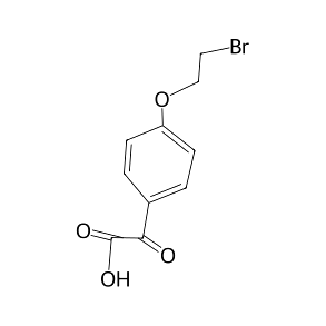 O=C(O)C(=O)c1ccc(OCCBr)cc1